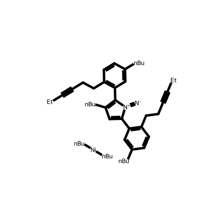 CCC#CCCc1ccc(CCCC)cc1C1=CC(CCCC)=C(c2cc(CCCC)ccc2CCC#CCC)[N+]1=[N-].CCC[CH2][Ni][CH2]CCC